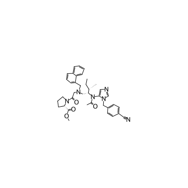 CC[C@H](C)[C@@H](CN(CC(=O)N1CCC[C@H]1C(=O)OC)Cc1cccc2ccccc12)N(C(C)=O)c1cncn1Cc1ccc(C#N)cc1